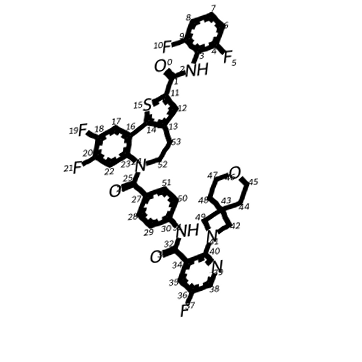 O=C(Nc1c(F)cccc1F)c1cc2c(s1)-c1cc(F)c(F)cc1N(C(=O)c1ccc(NC(=O)c3cc(F)cnc3N3CC4(CCOCC4)C3)cc1)CC2